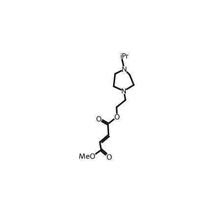 COC(=O)/C=C/C(=O)OCCN1CCN(C(C)C)CC1